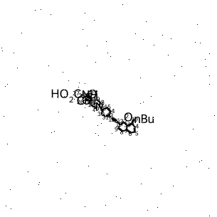 CCCCC(=O)c1cccc2ccc(C#Cc3ccc(N4CCN(S(=O)(=O)N[C@H](C)C(=O)O)CC4)cc3)cc12